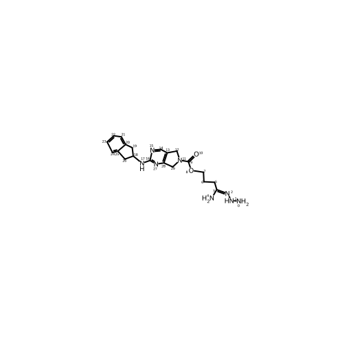 NN/N=C(\N)CCCOC(=O)N1Cc2cnc(NC3Cc4ccccc4C3)nc2C1